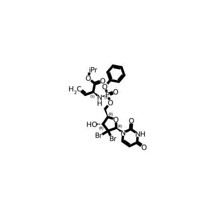 C=C[C@H](N[P@](=O)(OC[C@H]1O[C@@H](n2ccc(=O)[nH]c2=O)C(Br)(Br)[C@@H]1O)Oc1ccccc1)C(=O)OC(C)C